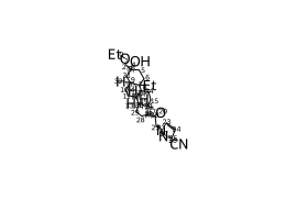 CCOC[C@@]1(O)CCC2(CC)[C@H](CC[C@@H]3[C@@H]2CC[C@]2(C)[C@@H](C(=O)Cn4ccc(C#N)n4)CC[C@@H]32)C1